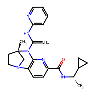 C=C(Nc1ccccn1)N1c2nc(C(=O)N[C@H](C3CC3)C(F)(F)F)ccc2N2CC[C@@]1(C)C2